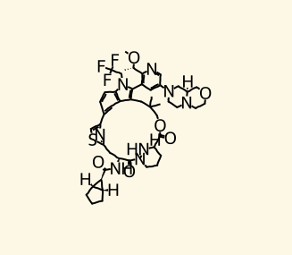 CO[C@@H](C)c1ncc(N2CCN3CCOC[C@@H]3C2)cc1-c1c2c3cc(ccc3n1CC(F)(F)F)-c1csc(n1)C[C@H](NC(=O)[C@H]1[C@@H]3CCC[C@@H]31)C(=O)N1CCC[C@H](N1)C(=O)OCC(C)(C)C2